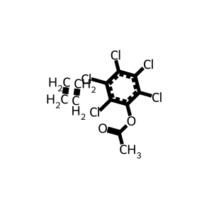 C=C.C=C.CC(=O)Oc1c(Cl)c(Cl)c(Cl)c(Cl)c1Cl